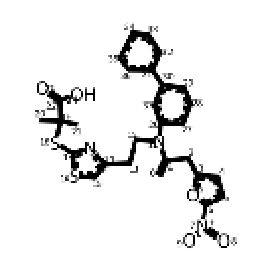 C=C(Cc1ccc([N+](=O)[O-])o1)N(CCc1csc(SC(C)(C)C(=O)O)n1)c1cccc(-c2ccccc2)c1